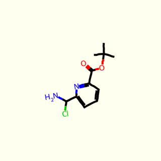 CC(C)(C)OC(=O)c1cccc(C(N)Cl)n1